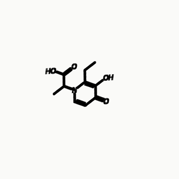 CCc1c(O)c(=O)ccn1C(C)C(=O)O